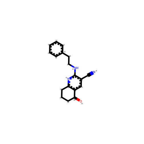 N#Cc1cc2c(nc1NCCc1ccccc1)CCCC2=O